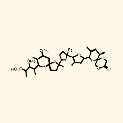 CCC1(C2OC(C3OC4(COC(=O)CO4)C(C)CC3C)CC2C)CCC(C2(C)CCC3(CC(OC(C)=O)C(C)C(C(C)C(OC)C(C)C(=O)O)O3)O2)O1